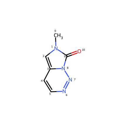 Cn1cc2ccnnn2c1=O